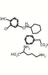 NC1CCCCC1.NCCCC(N)C(=O)O.O=C(O)Cc1ccccc1.O=Cc1ccc(Cl)cc1Cl